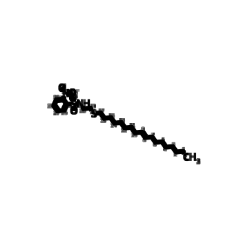 CCCCCCCCC=CCCCCCCCCSCCNS(=O)(=O)c1ccccc1[N+](=O)[O-]